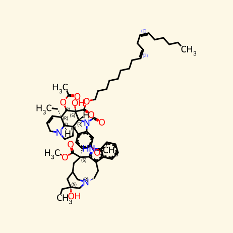 CCCCC/C=C\C/C=C\CCCCCCCCOC(=O)[C@@]1(O)[C@H](OC(C)=O)[C@]2(CC)C=CCN3CC[C@@]4(c5cc([C@@]6(C(=O)OC)CC7C[N@](CCc8c6[nH]c6ccccc86)C[C@](O)(CC)C7)c(OC)cc5N(C=O)[C@@H]14)[C@@H]32